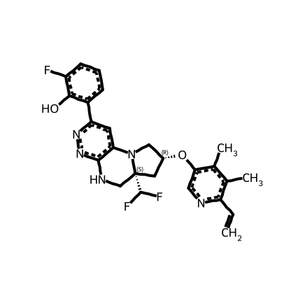 C=Cc1ncc(O[C@H]2CN3c4cc(-c5cccc(F)c5O)nnc4NC[C@]3(C(F)F)C2)c(C)c1C